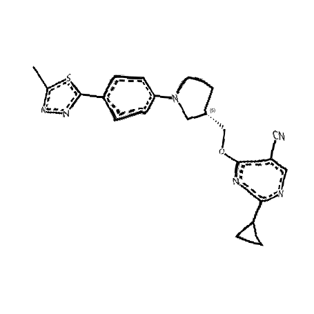 Cc1nnc(-c2ccc(N3CC[C@H](COc4nc(C5CC5)ncc4C#N)C3)cc2)s1